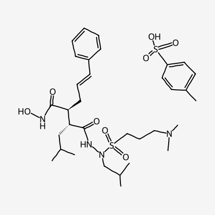 CC(C)C[C@@H](C(=O)NN(CC(C)C)S(=O)(=O)CCCN(C)C)[C@H](CC=Cc1ccccc1)C(=O)NO.Cc1ccc(S(=O)(=O)O)cc1